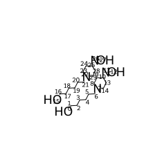 OCCCCCCN1CCC(=NO)CC1.OCCCCCCN1CCC(=NO)CC1